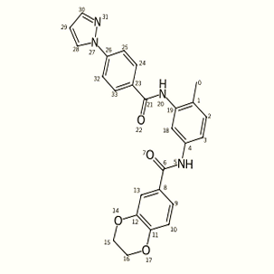 Cc1ccc(NC(=O)c2ccc3c(c2)OCCO3)cc1NC(=O)c1ccc(-n2cccn2)cc1